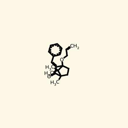 C=CCOC12CCC(C)(C(=O)C1=Cc1ccccc1)C2(C)C